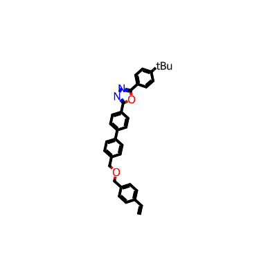 C=Cc1ccc(COCc2ccc(-c3ccc(-c4nnc(-c5ccc(C(C)(C)C)cc5)o4)cc3)cc2)cc1